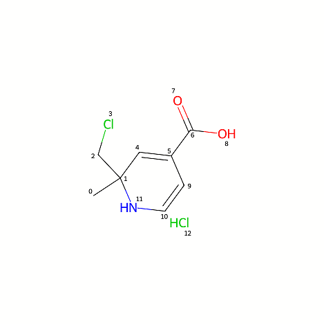 CC1(CCl)C=C(C(=O)O)C=CN1.Cl